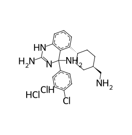 Cl.Cl.NC[C@H]1CC[C@H](c2cccc3c2C(N)(c2ccc(Cl)cc2)N=C(N)N3)CC1